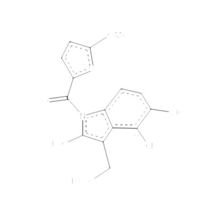 COc1ccc(C(=O)n2c(C)c(CC(=O)O)c3c(Cl)c(O)ccc32)s1